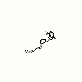 COCCOc1cccc(O[C@@H]2C[C@@H]3CC[C@@H](C3)C2)c1